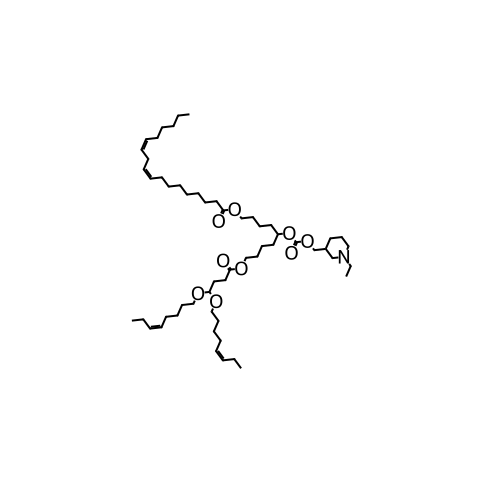 CC/C=C\CCCCOC(CCC(=O)OCCCCC(CCCCOC(=O)CCCCCCC/C=C\C/C=C\CCCCC)OC(=O)OCC1CCCN(CC)C1)OCCCC/C=C\CC